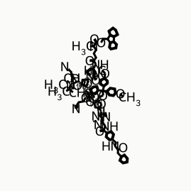 COc1ccc(C(OC[C@H]2O[C@@H](n3cnc4c(NC(=O)c5ccc(CNC(=O)Cc6ccccc6)cc5)ncnc43)C[C@H]2OP(=O)(OCCC#N)OC[C@H]2O[C@@H](n3ccc(NC(=O)CCCN(C)C(=O)OCC4c5ccccc5-c5ccccc54)nc3=O)C[C@H]2OP(OCCC#N)N(C(C)C)C(C)C)(c2ccccc2)c2ccc(OC)cc2)cc1